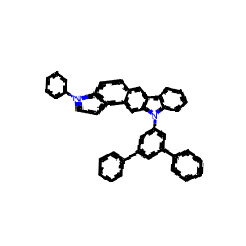 c1ccc(-c2cc(-c3ccccc3)cc(-n3c4ccccc4c4cc5ccc6c(ccn6-c6ccccc6)c5cc43)c2)cc1